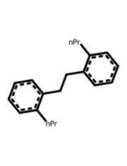 CCCc1ccccc1CCc1ccccc1CCC